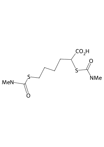 CNC(=O)SCCCCC(SC(=O)NC)C(=O)O